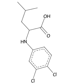 CC(C)CC(Nc1ccc(Cl)c(Cl)c1)C(=O)O